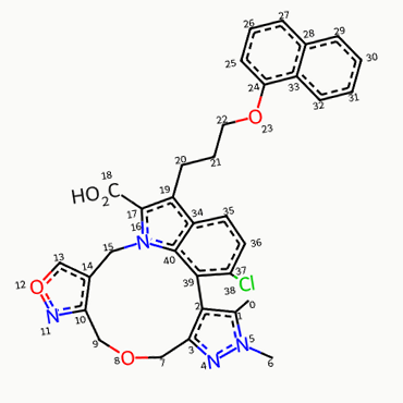 Cc1c2c(nn1C)COCc1nocc1Cn1c(C(=O)O)c(CCCOc3cccc4ccccc34)c3ccc(Cl)c-2c31